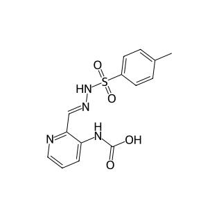 Cc1ccc(S(=O)(=O)N/N=C/c2ncccc2NC(=O)O)cc1